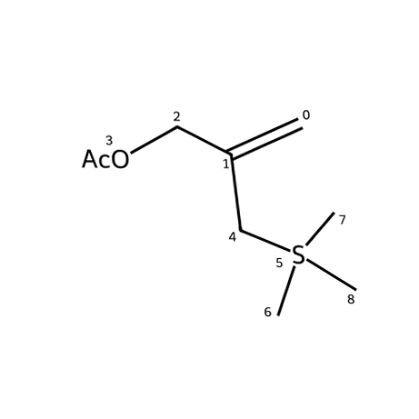 C=C(COC(C)=O)CS(C)(C)C